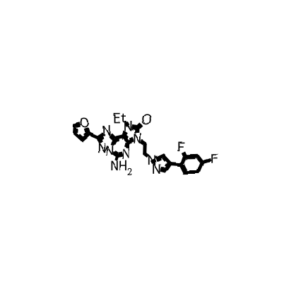 CCn1c(=O)n(CCn2cc(C3=CCC(F)C=C3F)cn2)c2nc(N)n3nc(-c4ccco4)nc3c21